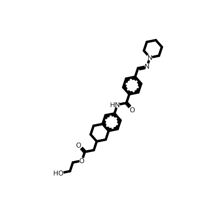 O=C(CC1CCc2cc(NC(=O)c3ccc(/C=N/N4CCCCC4)cc3)ccc2C1)OCCO